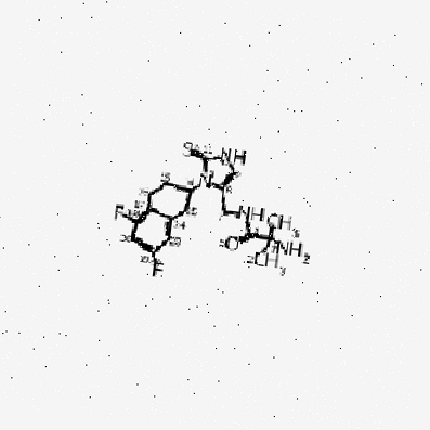 CC(C)(N)C(=O)NCc1c[nH]c(=S)n1C1CCc2c(F)cc(F)cc2C1